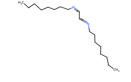 CCCCCCCC/N=C\C=N\CCCCCCCC